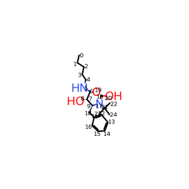 CCCCCNC[C@@H](O)[C@H](Cc1ccccc1)N(C(=O)O)C(C)(C)C